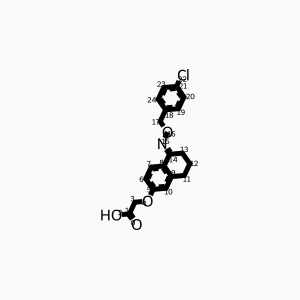 O=C(O)COc1ccc2c(c1)CCCC2=NOCc1ccc(Cl)cc1